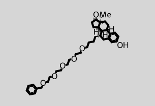 CO[C@H]1CC[C@H]2[C@@H]3[C@H](CCCCOCCOCCOCCOCCOCc4ccccc4)Cc4cc(O)ccc4[C@H]3CC[C@]12C